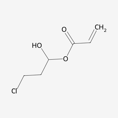 C=CC(=O)OC(O)CCCl